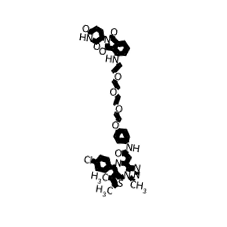 Cc1sc2c(c1C)C(c1ccc(Cl)cc1)=NC(CC(=O)Nc1ccc(OCCOCCOCCOCCNc3cccc4c3C(=O)N(C3CCC(=O)NC3=O)C4=O)cc1)c1nnc(C)n1-2